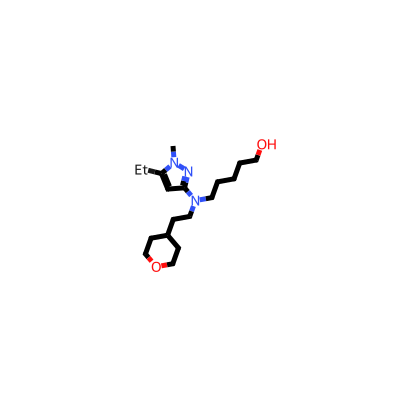 CCc1cc(N(CCCCCO)CCC2CCOCC2)nn1C